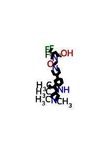 Cc1cc(-c2[nH]c3ccc(C4CCN(C(=O)CN5C[C@@H](C(F)(F)F)C[C@H]5CO)CC4)cc3c2C(C)C)cc(C)n1